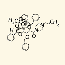 C=CCN1CCN(C(=O)C(OCc2ccccc2)C(OCc2ccccc2)C(OCc2ccccc2)[C@]2(COCc3ccccc3)OC(C)(C)O[C@@H]2C)CC1